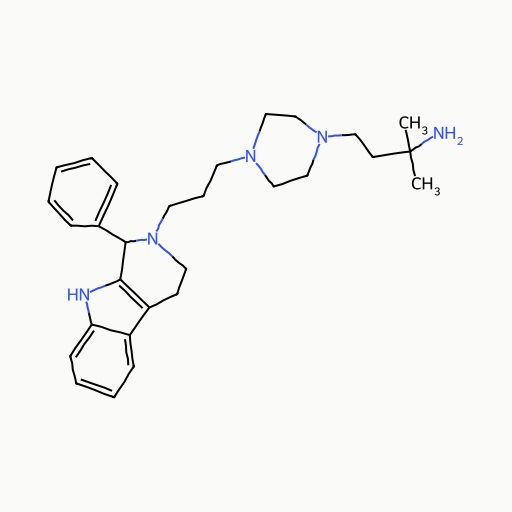 CC(C)(N)CCN1CCN(CCCN2CCc3c([nH]c4ccccc34)C2c2ccccc2)CC1